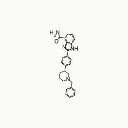 NC(=O)c1cccc2[nH]c(-c3ccc(C4CCCN(Cc5ccccc5)C4)cc3)nc12